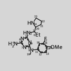 CCC(Nc1nc(N)nc(N(C)c2ccc(OC)c(F)c2)n1)C1CCCN1